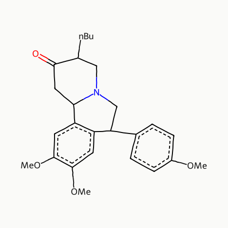 CCCCC1CN2CC(c3ccc(OC)cc3)c3cc(OC)c(OC)cc3C2CC1=O